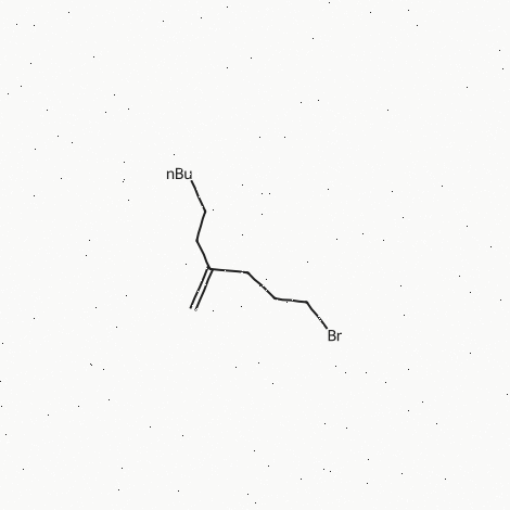 C=C(CCCBr)CCCCCC